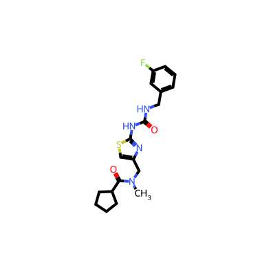 CN(Cc1csc(NC(=O)NCc2cccc(F)c2)n1)C(=O)C1CCCC1